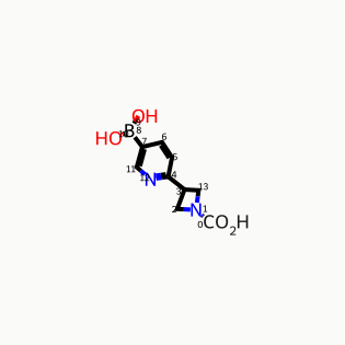 O=C(O)N1CC(c2ccc(B(O)O)cn2)C1